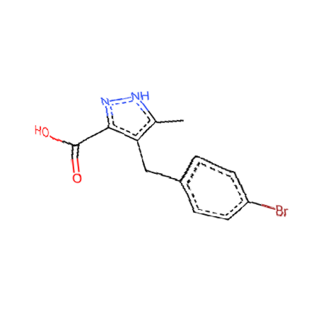 Cc1[nH]nc(C(=O)O)c1Cc1ccc(Br)cc1